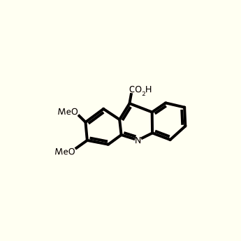 COc1cc2nc3ccccc3c(C(=O)O)c2cc1OC